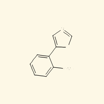 COc1ccccc1-c1cn[c]o1